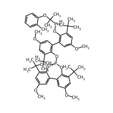 COc1cc(-c2cc(OC)cc(C(C)(C)C)c2Op2oc3c(C(C)(C)C)cc(OC)cc3c3cc(OC)cc(C(C)(C)C)c3o2)c(OPC(C)(C)Oc2ccccc2C)c(C(C)(C)C)c1